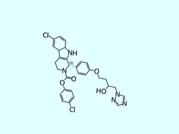 O=C(Oc1ccc(Cl)cc1)N1CCC2=C(NC3C=CC(Cl)=CC23)[C@@H]1c1ccc(OCCC(O)Cn2cncn2)cc1